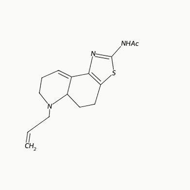 C=CCN1CCC=C2c3nc(NC(C)=O)sc3CCC21